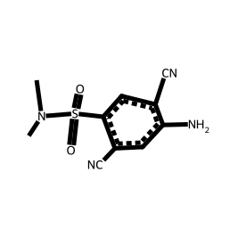 CN(C)S(=O)(=O)c1cc(C#N)c(N)cc1C#N